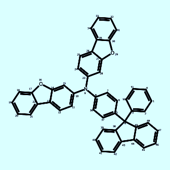 c1ccc(C2(c3ccc(N(c4ccc5c(c4)oc4ccccc45)c4ccc5c(c4)oc4ccccc45)cc3)c3ccccc3-c3ccccc32)cc1